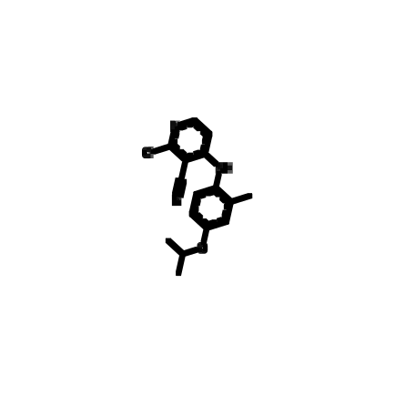 Cc1cc(OC(C)C)ccc1Nc1ccnc(Cl)c1C#N